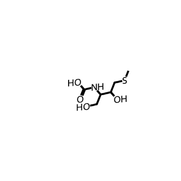 CSCC(O)C(CO)NC(=O)O